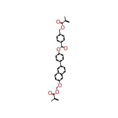 C=C(C)C(=O)OCOc1ccc2cc(-c3ccc(OC(=O)c4ccc(COC(=O)C(=C)C)cc4)cc3)ccc2c1